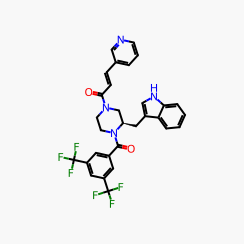 O=C(/C=C/c1cccnc1)N1CCN(C(=O)c2cc(C(F)(F)F)cc(C(F)(F)F)c2)[C@H](Cc2c[nH]c3ccccc23)C1